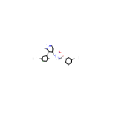 COc1cc(F)c(C(C)C)cc1-c1c(CN2C(=O)O[C@H](c3cc(C(F)(F)F)cc(C(F)(F)F)c3)[C@@H]2C)ccnc1C(F)(F)F